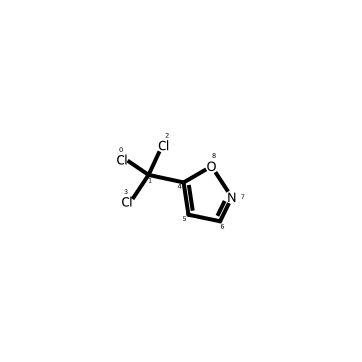 ClC(Cl)(Cl)c1ccno1